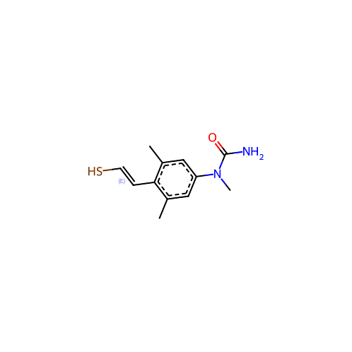 Cc1cc(N(C)C(N)=O)cc(C)c1/C=C/S